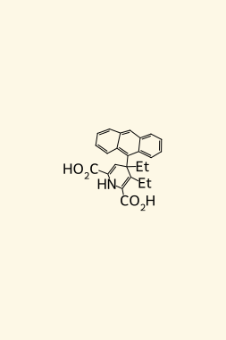 CCC1=C(C(=O)O)NC(C(=O)O)=CC1(CC)c1c2ccccc2cc2ccccc12